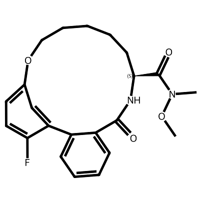 CON(C)C(=O)[C@@H]1CCCCCOc2ccc(F)c(c2)-c2ccccc2C(=O)N1